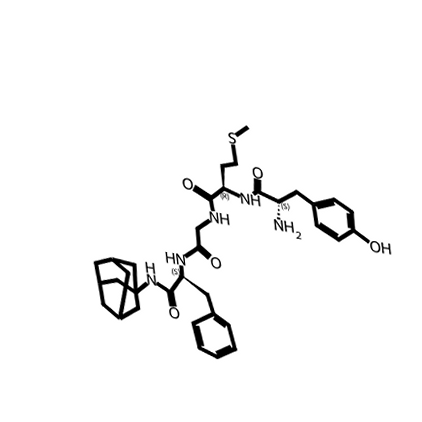 CSCC[C@@H](NC(=O)[C@@H](N)Cc1ccc(O)cc1)C(=O)NCC(=O)N[C@@H](Cc1ccccc1)C(=O)NC12CC3CC(CC(C3)C1)C2